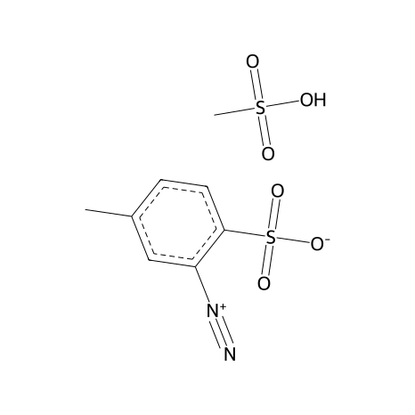 CS(=O)(=O)O.Cc1ccc(S(=O)(=O)[O-])c([N+]#N)c1